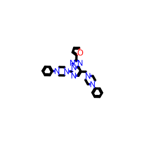 c1ccc(N2CCN(Cc3cnc(N4CCN(c5ccccc5)CC4)n4nc(-c5ccco5)nc34)CC2)cc1